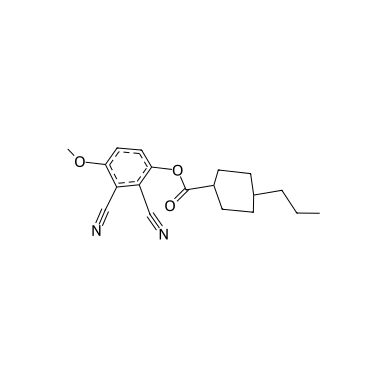 CCCC1CCC(C(=O)Oc2ccc(OC)c(C#N)c2C#N)CC1